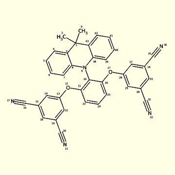 CC1(C)c2ccccc2N(c2c(Oc3cc(C#N)cc(C#N)c3)cccc2Oc2cc(C#N)cc(C#N)c2)c2ccccc21